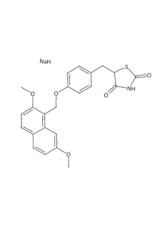 COc1ccc2ccc(OC)c(COc3ccc(CC4SC(=O)NC4=O)cc3)c2c1.[NaH]